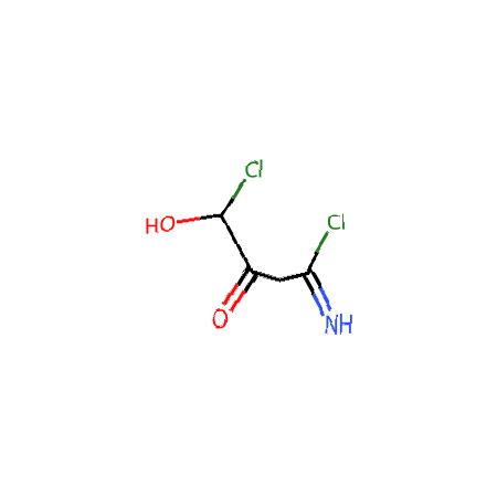 N=C(Cl)C(=O)C(O)Cl